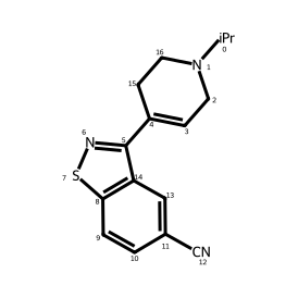 CC(C)N1CC=C(c2nsc3ccc(C#N)cc23)CC1